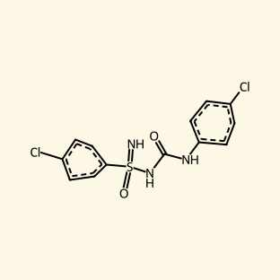 N=S(=O)(NC(=O)Nc1ccc(Cl)cc1)c1ccc(Cl)cc1